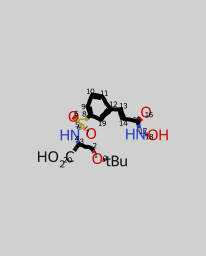 CC(C)(C)OCC(NS(=O)(=O)c1cccc(C=CC(=O)NO)c1)C(=O)O